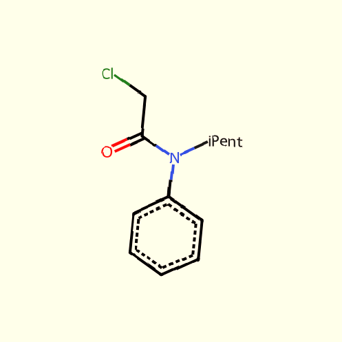 CCCC(C)N(C(=O)CCl)c1ccccc1